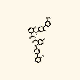 COc1cccc(-c2ncc(Nc3c(F)cccc3C(=O)OC(=O)c3cc(C)ccc3Nc3ccc(-c4ccccc4Cl)nc3)cc2C)c1